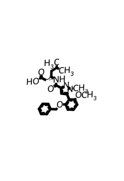 COc1cccc(OCc2ccccc2)c1-c1cc(C(=O)N[C@H](CC(=O)O)CC(C)C)nn1C